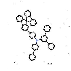 c1ccc(-c2ccc(N(c3ccc(-c4ccc5c(c4)C4(c6ccccc6-c6ccccc64)c4ccccc4-5)cc3)c3cc(-c4ccccc4)cc(-c4ccccc4)c3)cc2)cc1